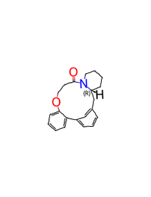 O=C1CCOc2ccccc2-c2cccc(c2)C[C@H]2CCCCN12